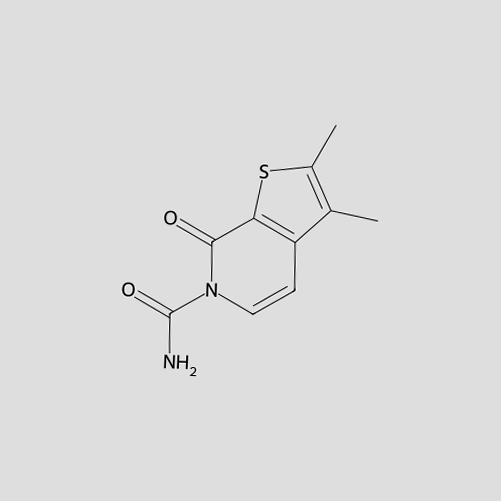 Cc1sc2c(=O)n(C(N)=O)ccc2c1C